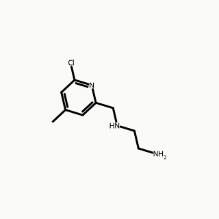 Cc1cc(Cl)nc(CNCCN)c1